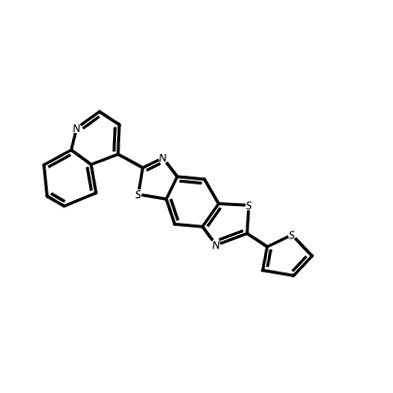 c1csc(-c2nc3cc4sc(-c5ccnc6ccccc56)nc4cc3s2)c1